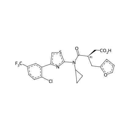 O=C(O)C[C@@H](Cc1ccco1)C(=O)N(c1nc(-c2cc(C(F)(F)F)ccc2Cl)cs1)C1CC1